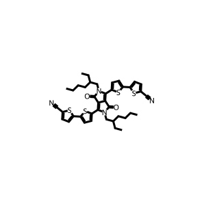 CCCCC(CC)CN1C(=O)C2=C(c3ccc(-c4ccc(C#N)s4)s3)N(CC(CC)CCCC)C(=O)C2=C1c1ccc(-c2ccc(C#N)s2)s1